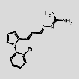 NC(N)=N/N=C/C=C/c1cccn1-c1ccccc1Br